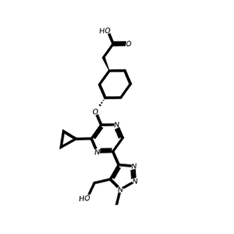 Cn1nnc(-c2cnc(O[C@H]3CCC[C@H](CC(=O)O)C3)c(C3CC3)n2)c1CO